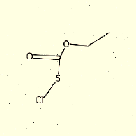 CCOC(=O)SCl